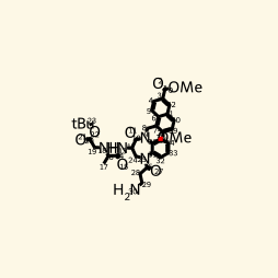 COC(=O)c1ccc2c(CN3C(=O)C(NC(=O)C(C)NCC(=O)OC(C)(C)C)CN(C(=O)CCN)c4ccccc43)c(OC)ccc2c1